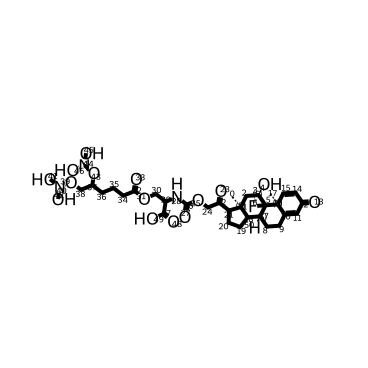 C[C@]12C[C@H](O)C3(F)[C@@H](CCC4=CC(=O)C=C[C@@]43C)C1CCC2C(=O)COC(=O)NC(COC(=O)CCCC(CON(O)O)ON(O)O)C(=O)O